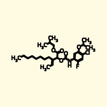 CC=C(CCCCCCCC)C(OC(=O)Nc1cc(OC(C)C)c(Cl)cc1F)C(=O)OCC(C)C